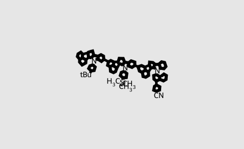 CC(C)(C)c1ccc(-n2c3cc(-c4cc5c6c(cccc6c4)-c4c-5ccc5c6ccc(-c7cc8c9c(cccc9c7)-c7c-8ccc8c9ccccc9n(-c9ccc(-c%10ccc(C#N)cc%10)c%10ccccc9%10)c78)cc6n(-c6ccc([Si](C)(C)C)cc6)c45)ccc3c3ccc4c(c32)-c2cccc3cccc-4c23)cc1